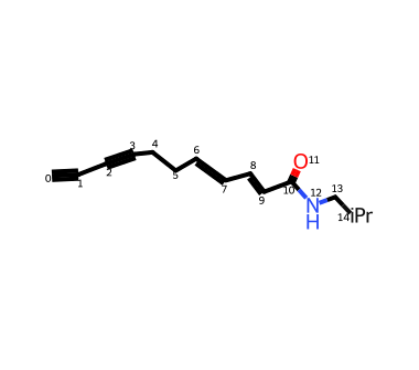 C#CC#CCC/C=C/C=C/C(=O)NCC(C)C